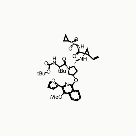 C=CC1C[C@]1(NC[C@@H]1C[C@@H](Oc2nc(-c3ccco3)c(OC)c3ccccc23)CN1C(=O)[C@@H](NC(=O)OC(C)(C)C)C(C)(C)C)C(=O)NS(=O)(=O)C1CC1